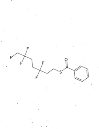 O=C(SCCC(F)(F)CCC(F)(F)CF)c1ccccc1